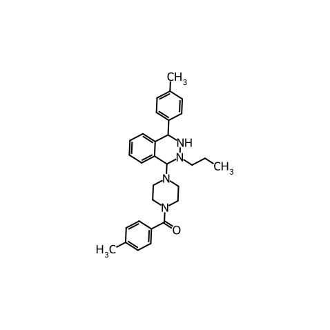 CCCN1NC(c2ccc(C)cc2)c2ccccc2C1N1CCN(C(=O)c2ccc(C)cc2)CC1